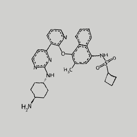 Cc1cc(NS(=O)(=O)C2CCC2)c2ccccc2c1Oc1ncccc1-c1ccnc(N[C@H]2CC[C@H](N)CC2)n1